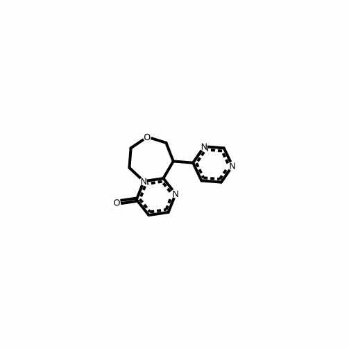 O=c1ccnc2n1CCOCC2c1ccncn1